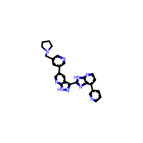 c1cncc(-c2ccnc3[nH]c(-c4n[nH]c5ncc(-c6cncc(CN7CCCC7)c6)cc45)nc23)c1